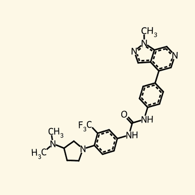 CN(C)C1CCN(c2ccc(NC(=O)Nc3ccc(-c4cncc5c4cnn5C)cc3)cc2C(F)(F)F)C1